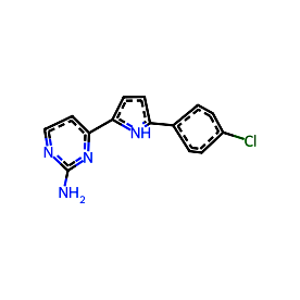 Nc1nccc(-c2ccc(-c3ccc(Cl)cc3)[nH]2)n1